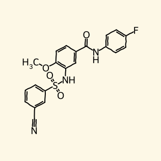 COc1ccc(C(=O)Nc2ccc(F)cc2)cc1NS(=O)(=O)c1cccc(C#N)c1